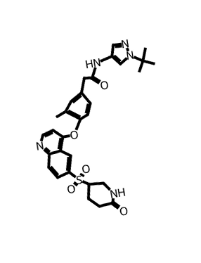 Cc1cc(CC(=O)Nc2cnn(C(C)(C)C)c2)ccc1Oc1ccnc2ccc(S(=O)(=O)C3CCC(=O)NC3)cc12